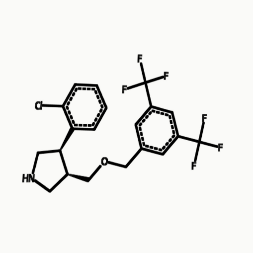 FC(F)(F)c1cc(COC[C@H]2CNC[C@H]2c2ccccc2Cl)cc(C(F)(F)F)c1